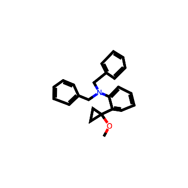 COC1(c2ccccc2N(Cc2ccccc2)Cc2ccccc2)CC1